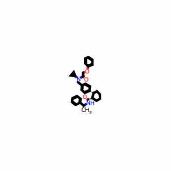 C[C@H](NC(=O)[C@H]1CCCC[C@H]1c1ccc(CN(C(=O)COc2ccccc2)C2CC2)cc1)c1ccccc1